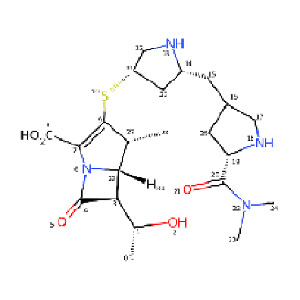 C[C@@H](O)[C@H]1C(=O)N2C(C(=O)O)=C(S[C@@H]3CN[C@H](CC4CN[C@H](C(=O)N(C)C)C4)C3)[C@H](C)[C@H]12